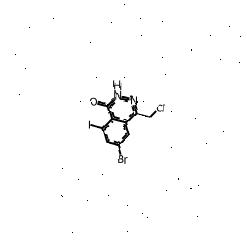 O=c1[nH]nc(CCl)c2cc(Br)cc(I)c12